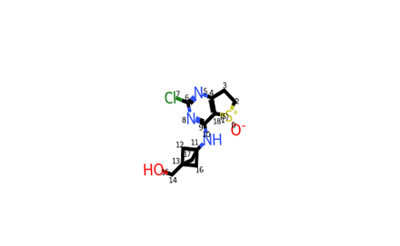 [O-][S@+]1CCc2nc(Cl)nc(NC34CC(CO)(C3)C4)c21